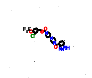 O=C(OCc1ccc(OC(F)(F)F)c(Cl)c1)N1CCC(N2CCN(C(=O)c3cccc4[nH]nnc34)CC2)CC1